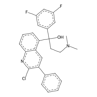 CN(C)CCC(O)(c1cc(F)cc(F)c1)c1cccc2nc(Cl)c(-c3ccccc3)cc12